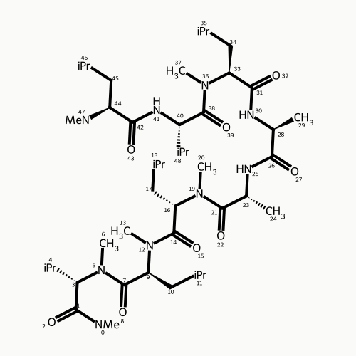 CNC(=O)[C@H](C(C)C)N(C)C(=O)[C@H](CC(C)C)N(C)C(=O)[C@H](CC(C)C)N(C)C(=O)[C@@H](C)NC(=O)[C@H](C)NC(=O)[C@H](CC(C)C)N(C)C(=O)[C@@H](NC(=O)[C@H](CC(C)C)NC)C(C)C